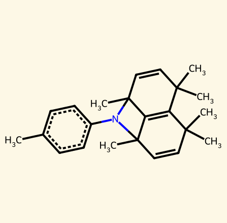 Cc1ccc(N2C3(C)C=CC(C)(C)C4=C3C2(C)C=CC4(C)C)cc1